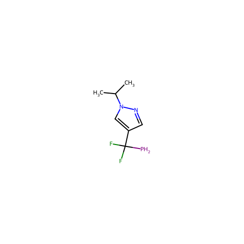 CC(C)n1cc(C(F)(F)P)cn1